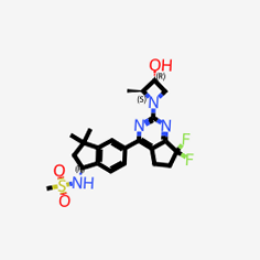 C[C@H]1[C@H](O)CN1c1nc(-c2ccc3c(c2)C(C)(C)C[C@H]3NS(C)(=O)=O)c2c(n1)C(F)(F)CC2